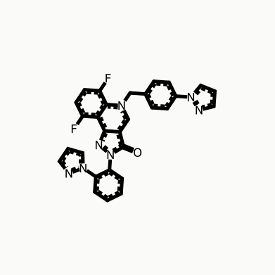 O=c1c2cn(Cc3ccc(-n4cccn4)cc3)c3c(F)ccc(F)c3c-2nn1-c1ccccc1-n1cccn1